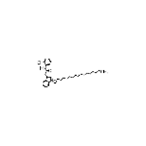 CCCCCCCCCCCCCCCCOn1cc(CC(=O)Nc2ccccc2Cl)c2ccccc21